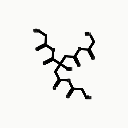 CC(C)(C)CC(=O)OC(=O)CC(O)(CC(=O)OC(=O)CC(C)(C)C)C(=O)OC(=O)CC(C)(C)C